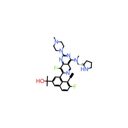 C#Cc1c(F)ccc2cc(C(C)(C)O)cc(-c3ncc4c(N(C)C[C@@H]5CCCN5)nc(N5CCN(C)CC5)nc4c3F)c12